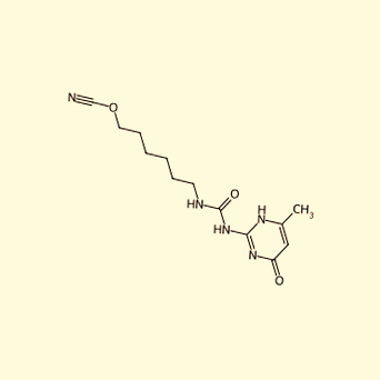 Cc1cc(=O)nc(NC(=O)NCCCCCCOC#N)[nH]1